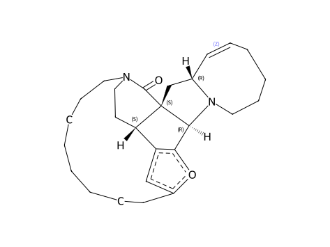 O=C1N2CCCCCCCCc3cc4c(o3)[C@@H]3N5CCCC/C=C\[C@H]5C[C@@]13[C@H]4CC2